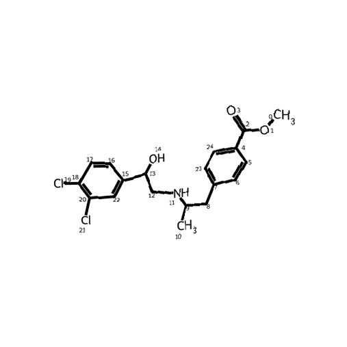 COC(=O)c1ccc(CC(C)NCC(O)c2ccc(Cl)c(Cl)c2)cc1